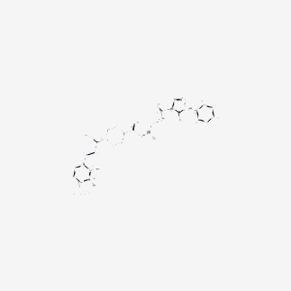 CSc1ccc(/C=C/C(=O)N2CCC(C(=O)N[C@@H](CNC(=O)c3cnn(-c4ccccc4)c3C(F)(F)F)C(=O)O)CC2)c(Cl)c1Cl